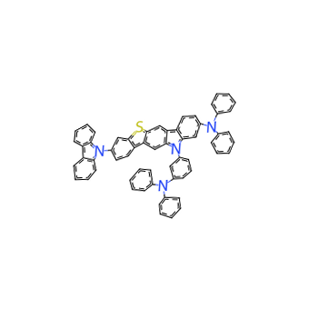 c1ccc(N(c2ccccc2)c2cccc(-n3c4cc(N(c5ccccc5)c5ccccc5)ccc4c4cc5sc6cc(-n7c8ccccc8c8ccccc87)ccc6c5cc43)c2)cc1